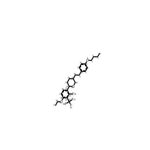 CCCCOc1ccc(CCC2CCC(c3ccc(OCC)c(C(F)(F)F)c3F)OC2)cc1